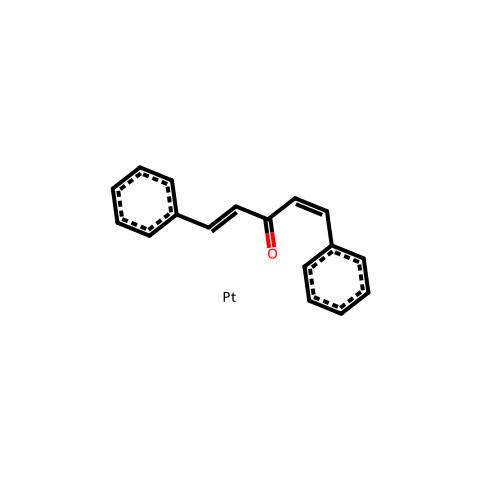 O=C(/C=C\c1ccccc1)/C=C/c1ccccc1.[Pt]